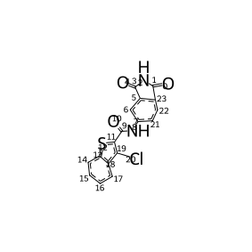 O=C1NC(=O)c2cc(NC(=O)c3sc4ccccc4c3Cl)ccc21